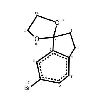 Brc1ccc2c(c1)C1(CC2)OCCO1